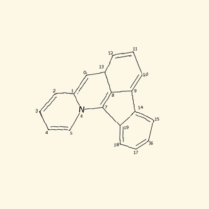 [C]1=C2C=CC=CN2C2=C3C(=CC=CC13)c1ccccc12